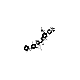 Cc1cc(Oc2ccccc2F)cc(F)c1-n1ncc(C(=O)c2cc3cc(OC(F)F)c(N4CCN(S(C)(=O)=O)CC4)cc3[nH]2)c1N